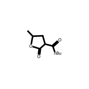 CCCCC(=O)C1CC(C)OC1=O